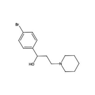 OC(CCN1CCCCC1)c1ccc(Br)cc1